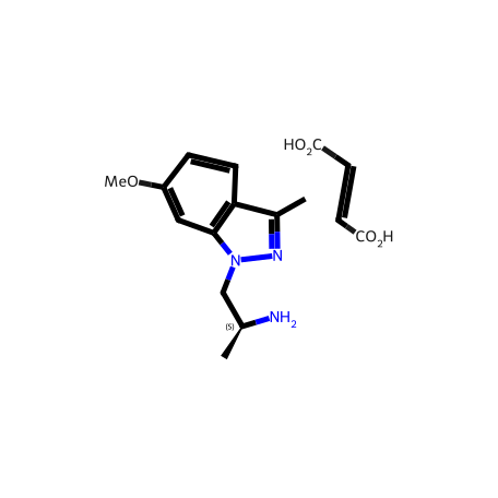 COc1ccc2c(C)nn(C[C@H](C)N)c2c1.O=C(O)C=CC(=O)O